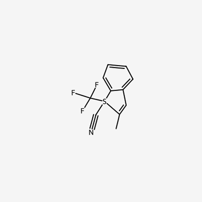 CC1=Cc2ccccc2S1(C#N)C(F)(F)F